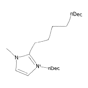 CCCCCCCCCCCCCCc1n(C)cc[n+]1CCCCCCCCCC